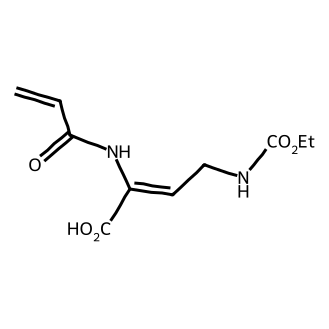 C=CC(=O)NC(=CCNC(=O)OCC)C(=O)O